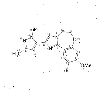 COc1cc2c(cc1Br)-c1nc(-c3nc(C)nn3C(C)C)cn1CCO2